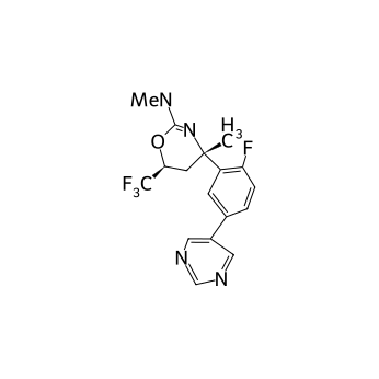 CNC1=N[C@](C)(c2cc(-c3cncnc3)ccc2F)C[C@@H](C(F)(F)F)O1